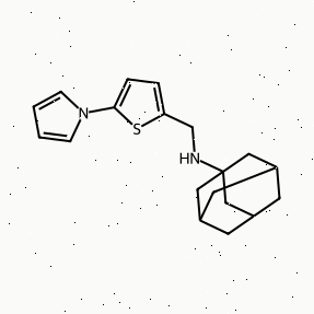 c1ccn(-c2ccc(CNC34CC5CC(CC(C5)C3)C4)s2)c1